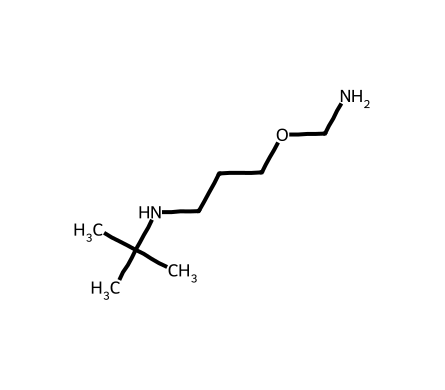 CC(C)(C)NCCCOCN